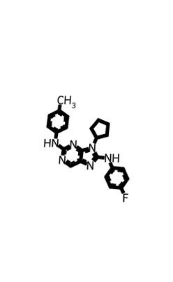 Cc1ccc(Nc2ncc3nc(Nc4ccc(F)cc4)n(C4CCCC4)c3n2)cc1